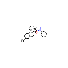 CC(C)c1ccc2c(c1)CC[C@H]1[C@@](C)(C(=O)NC3CCCCC3)CCC[C@]21C